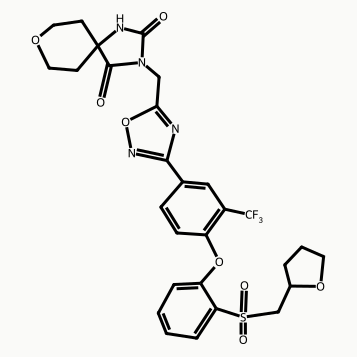 O=C1NC2(CCOCC2)C(=O)N1Cc1nc(-c2ccc(Oc3ccccc3S(=O)(=O)CC3CCCO3)c(C(F)(F)F)c2)no1